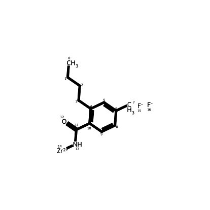 CCCCc1cc(C)ccc1C(=O)[NH][Zr+2].[F-].[F-]